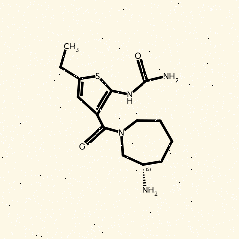 CCc1cc(C(=O)N2CCCC[C@H](N)C2)c(NC(N)=O)s1